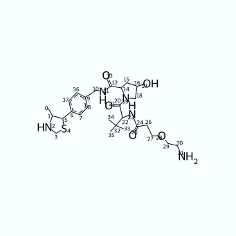 CC1NCSC1c1ccc(CNC(=O)C2CC(O)CN2C(=O)C(NC(=O)CCOCCN)C(C)(C)C)cc1